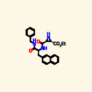 CCOC(=O)[C@H]1N[C@@H]1C(=O)N[C@@H](Cc1ccc2ccccc2c1)C(=O)NCc1ccccc1